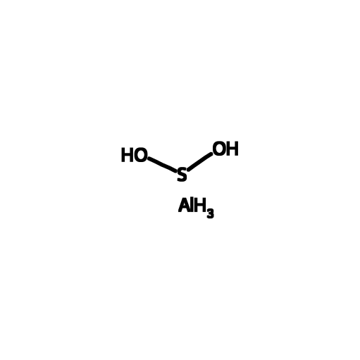 OSO.[AlH3]